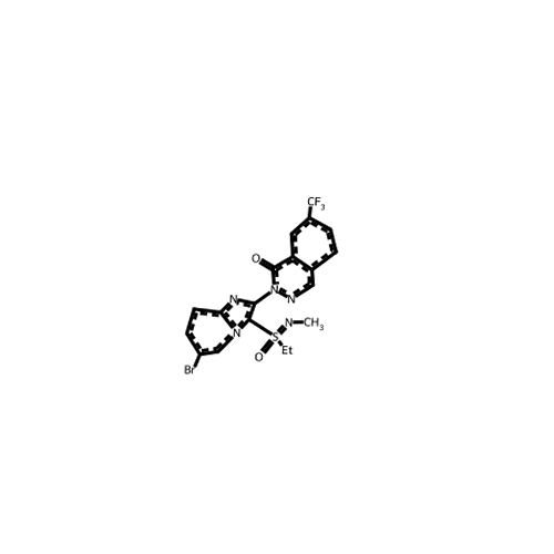 CCS(=O)(=NC)c1c(-n2ncc3ccc(C(F)(F)F)cc3c2=O)nc2ccc(Br)cn12